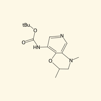 CC1CN(C)c2cncc(NC(=O)OC(C)(C)C)c2O1